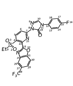 CCS(=O)(=O)c1ccc(-n2ncn(-c3ccc(F)cc3)c2=O)nc1-c1nc2cc(C(F)(F)F)ccc2o1